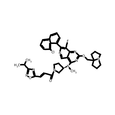 CC(C)c1noc(/C=C/C(=O)N2CC[C@@H](N(C)c3nc(OCC45CCCN4CCC5)nc4c(F)c(-c5cccc6cccc(Cl)c56)ncc34)C2)n1